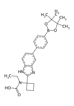 CCN(C(=O)O)C1(c2nc3cc(-c4ccc(B5OC(C)(C)C(C)(C)O5)cc4)ccc3[nH]2)CCC1